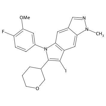 COc1cc(-n2c(C3CCCOC3)c(I)c3cc4c(cnn4C)cc32)ccc1F